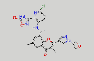 Cc1cc([C@@H](C)Nc2ccc(Cl)nc2-c2noc(=O)[nH]2)c2oc(-c3cnn(C4COC4)c3)c(C)c(=O)c2c1